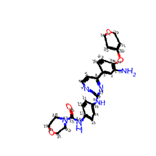 Nc1cc(-c2ccnc(Nc3ccc(NC(=O)N4CCOCC4)cc3)n2)ccc1OC1CCOCC1